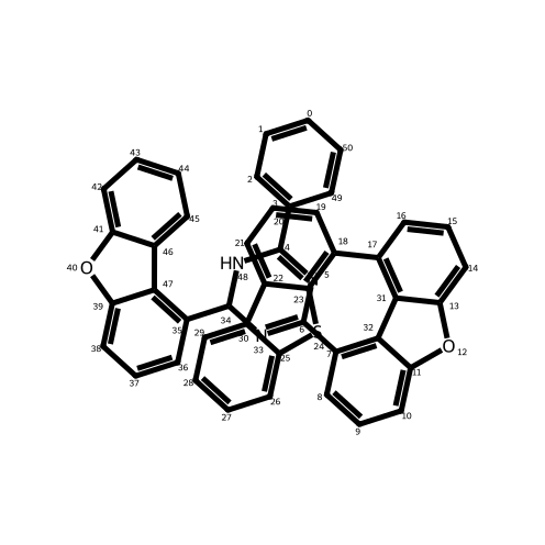 c1ccc(C2=NC(c3cccc4oc5cccc(-c6cccc7c6sc6ccccc67)c5c34)=NC(c3cccc4oc5ccccc5c34)N2)cc1